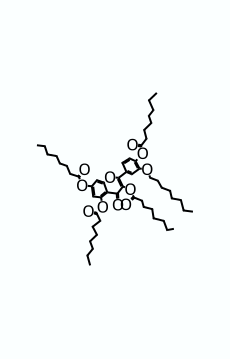 CCCCCCCCOc1cc(-c2oc3cc(OC(=O)CCCCCCC)cc(OC(=O)CCCCCCC)c3c(=O)c2OC(=O)CCCCCCC)ccc1OC(=O)CCCCCCC